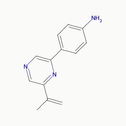 C=C(C)c1cncc(-c2ccc(N)cc2)n1